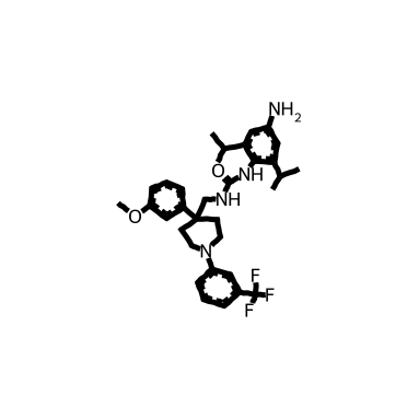 COc1cccc(C2(CNC(=O)Nc3c(C(C)C)cc(N)cc3C(C)C)CCN(c3cccc(C(F)(F)F)c3)CC2)c1